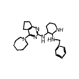 c1ccc(CNC2NCCCC2Nc2nc3c(c(N4CCCCCC4)n2)CCC3)cc1